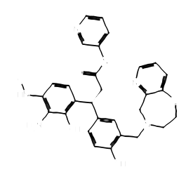 CNc1ccc([C@@H](CC(=O)Nc2cccnc2)c2ccc(C)c(CN3CCOc4cccnc4C3)c2)c(C)c1N